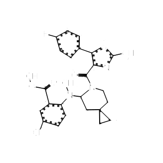 COC(=O)c1cc(Cl)ccc1N(C)C1CC2(CCN1C(=O)c1nc(C)sc1-c1ccc(F)cc1)CC2